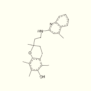 Cc1c(C)c2c(c(C)c1O)CCC(C)(CCNc1cc(C)c3ccccc3n1)O2